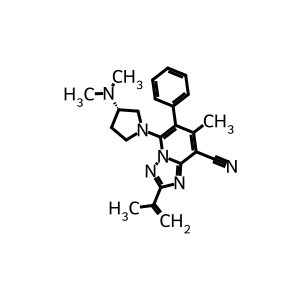 C=C(C)c1nc2c(C#N)c(C)c(-c3ccccc3)c(N3CC[C@H](N(C)C)C3)n2n1